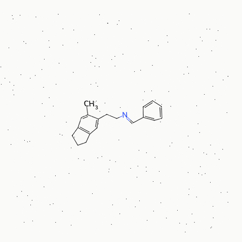 Cc1cc2c(cc1CCN=Cc1ccccc1)CCC2